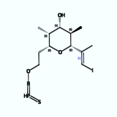 C/C(=C\I)[C@@H]1O[C@H](CCOB=[PH]=S)[C@H](C)[C@H](O)[C@H]1C